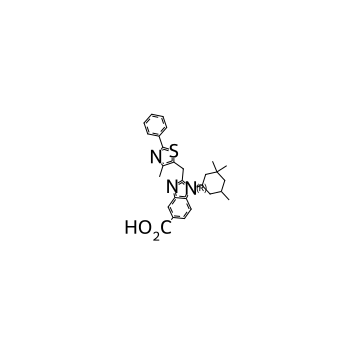 Cc1nc(-c2ccccc2)sc1Cc1nc2cc(C(=O)O)ccc2n1[C@@H]1CC(C)CC(C)(C)C1